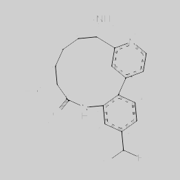 C[C@@H]1CCC[C@H](N)c2cc(ccn2)-c2ccc(C(F)F)cc2NC1=O